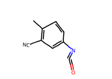 Cc1ccc(N=C=O)cc1C#N